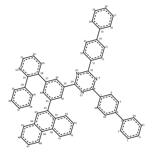 c1ccc(-c2ccc(-c3nc(-c4ccc(-c5ccccc5)cc4)nc(-c4cc(-c5cccnc5-c5ccccc5)cc(-c5cc6ccccc6c6ccccc56)c4)n3)cc2)cc1